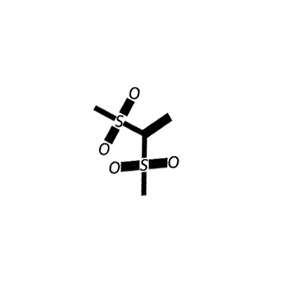 C=C(S(C)(=O)=O)S(C)(=O)=O